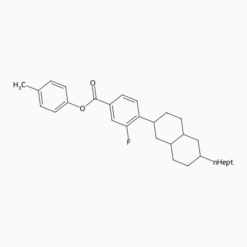 CCCCCCCC1CCC2CC(c3ccc(C(=O)Oc4ccc(C)cc4)cc3F)CCC2C1